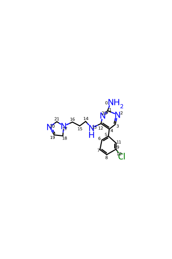 Nc1ncc(-c2cccc(Cl)c2)c(NCCCN2CC=NC2)n1